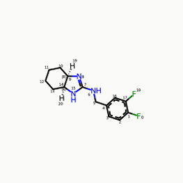 Fc1ccc(CNC2=N[C@@H]3CCCC[C@@H]3N2)cc1F